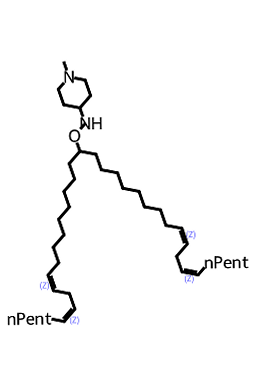 CCCCC/C=C\C/C=C\CCCCCCCCC(CCCCCCCC/C=C\C/C=C\CCCCC)ONC1CCN(C)CC1